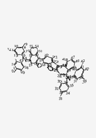 Cc1ccc(N(c2cc(C)cc(C)c2)c2cc3oc4c(ccc5c4oc4cc(N(c6ccc(C)cc6)c6cc(C)cc(C)c6)c6ccccc6c45)c3c3ccccc23)cc1